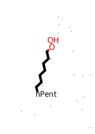 CCCCCCCCCC[CH]COO